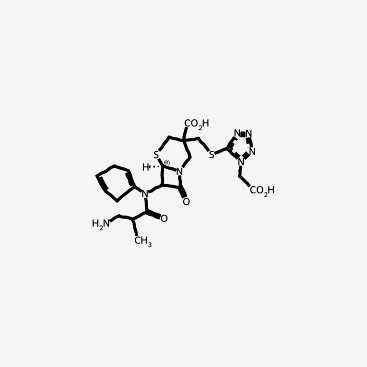 CC(CN)C(=O)N(C1=CCC=CC1)C1C(=O)N2CC(CSc3nnnn3CC(=O)O)(C(=O)O)CS[C@H]12